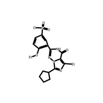 CCOc1ccc(S(=O)(=O)Cl)cc1-c1nn2c(C3CCCC3)nc(CC)c2c(=O)[nH]1